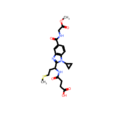 COC(=O)CNC(=O)c1ccc2c(c1)nc(C(CCSC)NC(=O)CCC(=O)O)n2C1CC1